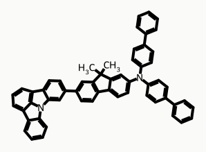 CC1(C)c2cc(-c3ccc4c5cccc6c7ccccc7n(c4c3)c65)ccc2-c2ccc(N(c3ccc(-c4ccccc4)cc3)c3ccc(-c4ccccc4)cc3)cc21